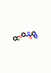 O=C(NCc1cccc(OCc2ccccc2F)c1)c1cccn2cncc12